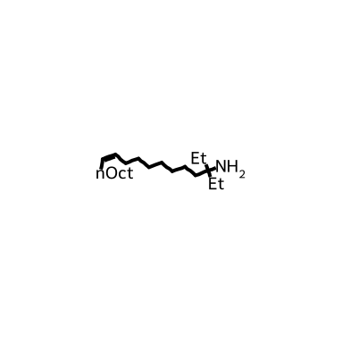 CCCCCCCC/C=C\CCCCCCCC(N)(CC)CC